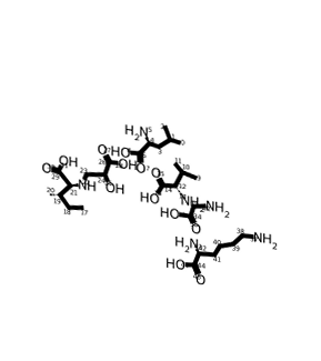 CC(C)C[C@H](N)C(=O)O.CC(C)[C@H](N)C(=O)O.CC[C@H](C)[C@H](NCC(O)C(=O)O)C(=O)O.NCC(=O)O.NCCCC[C@H](N)C(=O)O